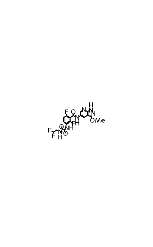 COc1n[nH]c2ncc(NC(=O)c3c(F)ccc(NS(=O)(=O)NCC(F)F)c3F)cc12